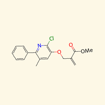 C=C(COc1cc(C)c(-c2ccccc2)nc1Cl)C(=O)OC